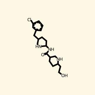 O=C(NC1CCC(Cc2cccc(Cl)c2)CN1)C1CCC(CCO)NC1